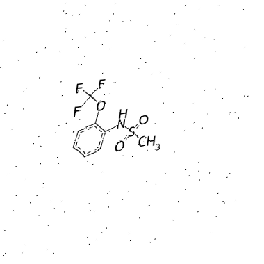 CS(=O)(=O)Nc1ccc[c]c1OC(F)(F)F